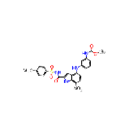 COc1ccc(S(=O)(=O)NC(=O)c2cc3c(Nc4cccc(NC(=O)OC(C)(C)C)c4)ccc([N+](=O)[O-])c3[nH]2)cc1